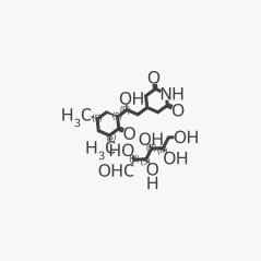 C[C@@H]1C[C@@H]([C@H](O)CC2CC(=O)NC(=O)C2)C(=O)[C@@H](C)C1.O=C[C@H](O)[C@@H](O)[C@H](O)[C@H](O)CO